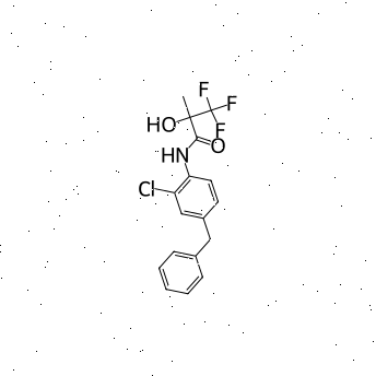 CC(O)(C(=O)Nc1ccc(Cc2ccccc2)cc1Cl)C(F)(F)F